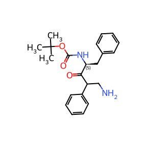 CC(C)(C)OC(=O)N[C@@H](Cc1ccccc1)C(=O)C(CN)c1ccccc1